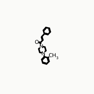 Cc1ccccc1N1CCN(C(=O)C=Cc2ccccc2)CC1